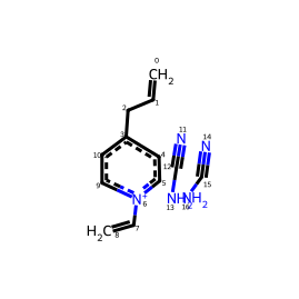 C=CCc1cc[n+](C=C)cc1.N#CN.N#CN